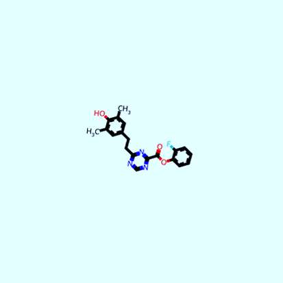 Cc1cc(CCc2ncnc(C(=O)Oc3ccccc3F)n2)cc(C)c1O